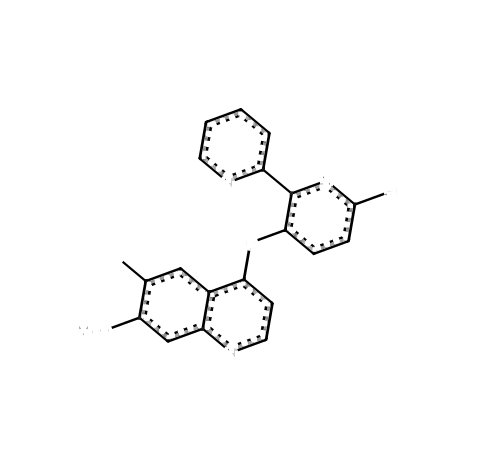 CCc1ccc(Oc2ccnc3cc(OC)c(F)cc23)c(-c2ccccn2)n1